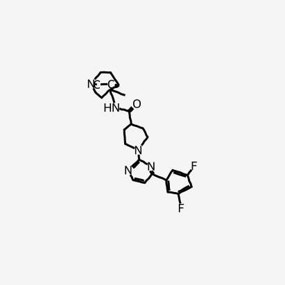 CC1(NC(=O)C2CCN(c3nccc(-c4cc(F)cc(F)c4)n3)CC2)CCN2CCC1CC2